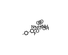 Cc1ccc(-c2cc(F)c3c(=O)n(CCC(C)(C(=O)NO)S(C)(=O)=O)cnc3c2)cc1